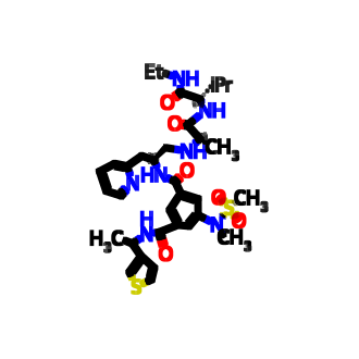 CCNC(=O)[C@@H](NC(=O)[C@H](C)NC[C@H](Cc1ccccn1)NC(=O)c1cc(C(=O)NC(C)c2ccsc2)cc(N(C)S(C)(=O)=O)c1)C(C)C